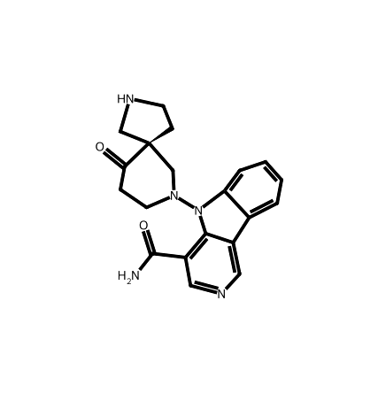 NC(=O)c1cncc2c3ccccc3n(N3CCC(=O)[C@@]4(CCNC4)C3)c12